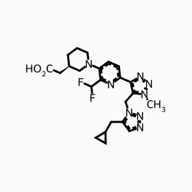 Cn1nnc(-c2ccc(N3CCC[C@H](CC(=O)O)C3)c(C(F)F)n2)c1Cn1nncc1CC1CC1